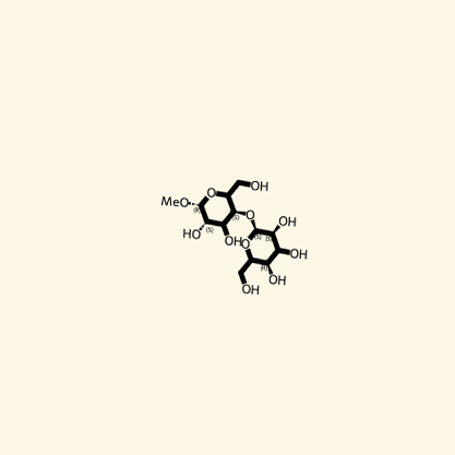 CO[C@@H]1OC(CO)[C@@H](O[C@@H]2OC(CO)[C@H](O)C(O)[C@@H]2O)C(O)[C@@H]1O